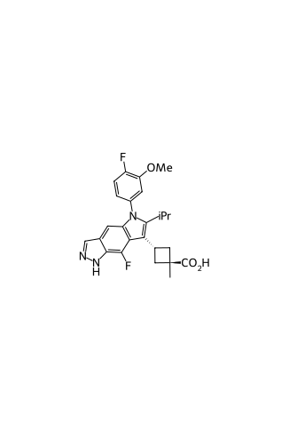 COc1cc(-n2c(C(C)C)c([C@H]3C[C@](C)(C(=O)O)C3)c3c(F)c4[nH]ncc4cc32)ccc1F